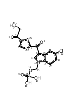 CCC(=O)c1csc(C(=O)c2cn(COP(=O)(O)O)c3ccc(Cl)cc23)n1